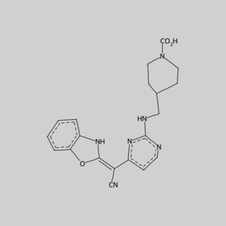 N#C/C(=C1/Nc2ccccc2O1)c1ccnc(NCC2CCN(C(=O)O)CC2)n1